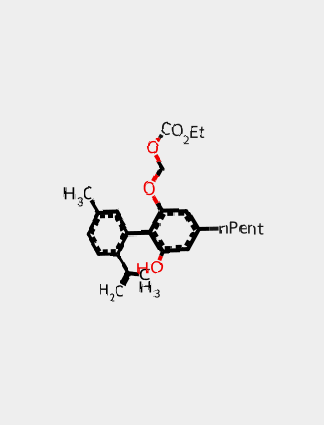 C=C(C)c1ccc(C)cc1-c1c(O)cc(CCCCC)cc1OCOC(=O)OCC